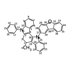 CC1Cc2c(c3ccccc3n2-c2ccccc2)-c2c1c1ccccc1n2-c1ccc2oc3ccccc3c2c1